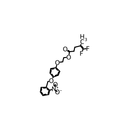 CC(CCC(=O)OCCOc1ccc(OCc2ccccc2[N+](=O)[O-])cc1)=C(F)F